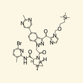 Cc1ncc(-c2ccc3c(c2)c(C(=O)c2nccn2COCC[Si](C)(C)C)nn3CC(=O)N2[C@H](C(=O)Nc3nc(Br)ccc3C)C[C@@]3(C)C[C@@H]23)cn1